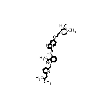 Cc1nn(Cc2cccc(CC(C)C)n2)c2cccc(NCc3cnc4cc(OCCN5CCN(C)[C@@H](C)C5)ccn34)c12